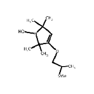 CSC(C)COC1=CC(C)(C)N(O)C1(C)C